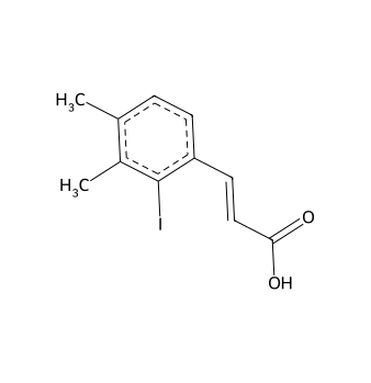 Cc1ccc(/C=C/C(=O)O)c(I)c1C